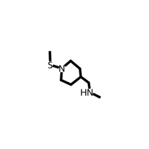 CNCC1CCN(SC)CC1